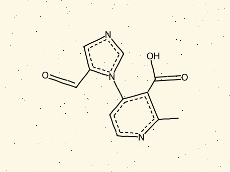 Cc1nccc(-n2cncc2C=O)c1C(=O)O